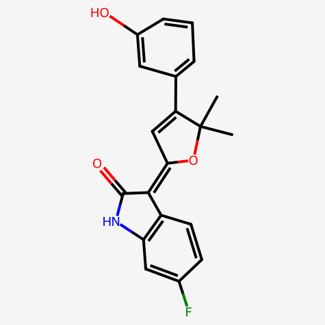 CC1(C)O/C(=C2/C(=O)Nc3cc(F)ccc32)C=C1c1cccc(O)c1